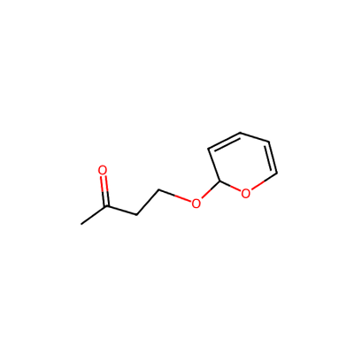 CC(=O)CCOC1C=CC=CO1